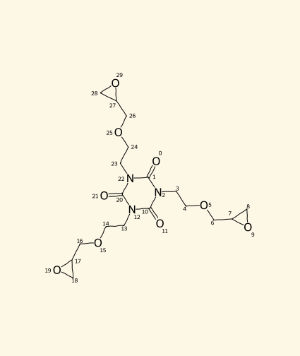 O=c1n(CCOCC2CO2)c(=O)n(CCOCC2CO2)c(=O)n1CCOCC1CO1